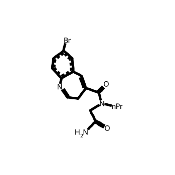 CCCN(CC(N)=O)C(=O)C1=Cc2cc(Br)ccc2N=[C]C1